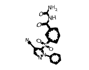 N#Cc1cnn(-c2ccccc2)c1S(=O)(=O)c1cccc(C(=O)NC(N)=O)c1